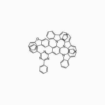 c1ccc(-c2nc(-c3ccccc3)nc(-c3cc(-n4c5ccccc5c5ccccc54)c(-n4c5ccccc5c5ccccc54)c(-n4c5ccccc5c5ccccc54)c3-c3ccc4oc5ccccc5c4c3)n2)cc1